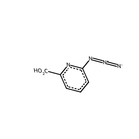 [N-]=[N+]=Nc1cccc(C(=O)O)n1